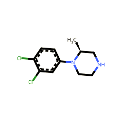 C[C@H]1CNCCN1c1ccc(Cl)c(Cl)c1